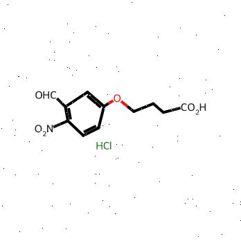 Cl.O=Cc1cc(OCCCC(=O)O)ccc1[N+](=O)[O-]